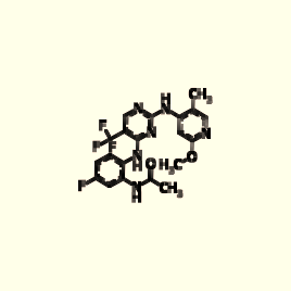 COc1cc(Nc2ncc(C(F)(F)F)c(Nc3ccc(F)cc3NC(C)=O)n2)c(C)cn1